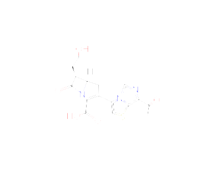 CC(=O)c1ncn2c(C3=C(C(=O)O)N4C(=O)[C@@H](CCO)[C@H]4C3)csc12